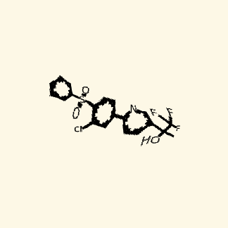 CC(O)(c1ccc(-c2ccc(S(=O)(=O)c3ccccc3)c(Cl)c2)nc1)C(F)(F)F